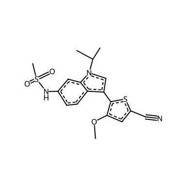 COc1cc(C#N)sc1-c1cn(C(C)C)c2cc(NS(C)(=O)=O)ccc12